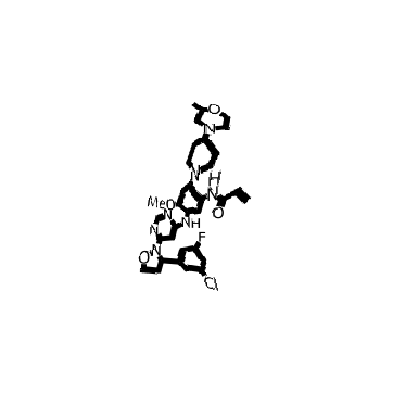 C=CC(=O)Nc1cc(Nc2cc(N3OCCC3c3cc(F)cc(Cl)c3)ncn2)c(OC)cc1N1CCC(N2CCOC(C)C2)CC1